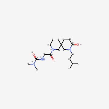 CC(C)CCN1CC2(CCCN(C(=O)CNC(=O)N(C)C)C2)CCC1=O